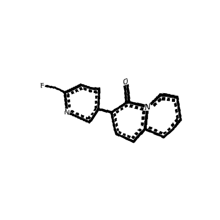 O=c1c(-c2ccc(F)nc2)ccc2ccccn12